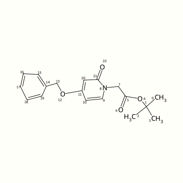 CC(C)(C)OC(=O)Cn1ccc(OCc2ccccc2)cc1=O